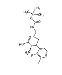 CC(C)(C)OC(=O)NCCCC(c1cccc(F)c1F)[C@@H](N)C(=O)O